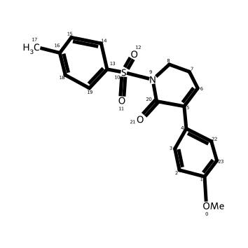 COc1ccc(C2=CCCN(S(=O)(=O)c3ccc(C)cc3)C2=O)cc1